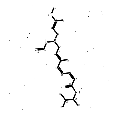 CO/C(C)=C/CC(C/C=C(C)/C=C\C=C/C(=O)NC(C)C(C)C)OC=O